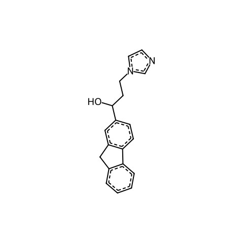 OC(CCn1ccnc1)c1ccc2c(c1)Cc1ccccc1-2